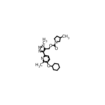 Cc1nc(-c2nnn(C)c2COC(=O)N2CCC(C)C2)ccc1OC1CCCCC1